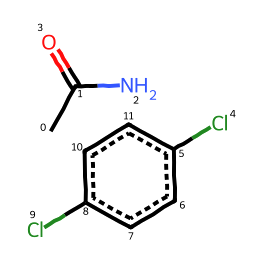 CC(N)=O.Clc1ccc(Cl)cc1